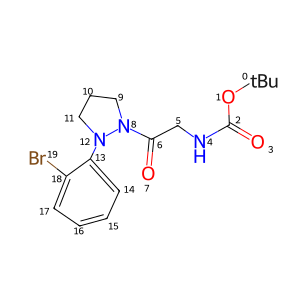 CC(C)(C)OC(=O)NCC(=O)N1CCCN1c1ccccc1Br